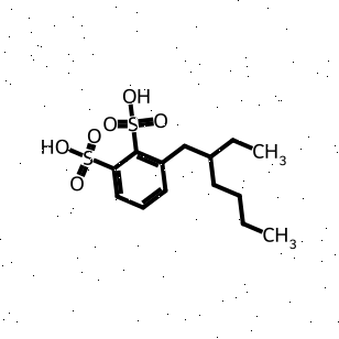 CCCCC(CC)Cc1cccc(S(=O)(=O)O)c1S(=O)(=O)O